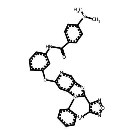 CN(C)c1ccc(C(=O)Nc2cccc(Oc3cc4c(cn3)nc(-c3nonc3N)n4-c3ccccc3)c2)cc1